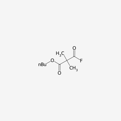 CCCCOC(=O)C(C)(C)C(=O)F